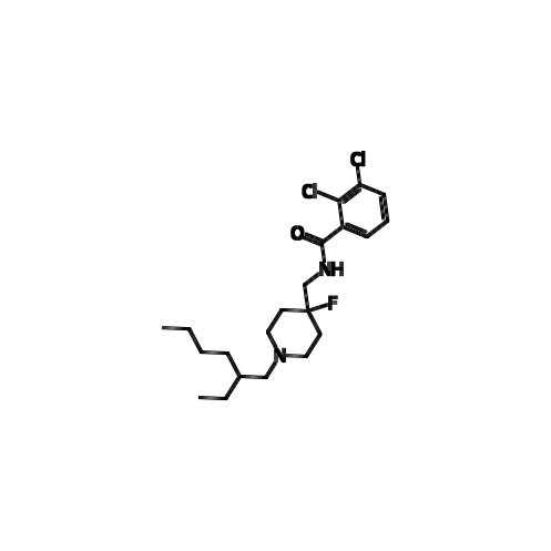 CCCCC(CC)CN1CCC(F)(CNC(=O)c2cccc(Cl)c2Cl)CC1